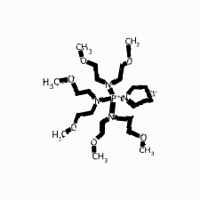 COCCN(CCOC)[P+](N1CCCC1)(N(CCOC)CCOC)N(CCOC)CCOC.[Cl-]